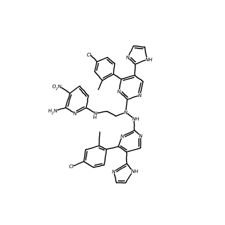 Cc1cc(Cl)ccc1-c1nc(NN(CCNc2ccc([N+](=O)[O-])c(N)n2)c2ncc(-c3ncc[nH]3)c(-c3ccc(Cl)cc3C)n2)ncc1-c1ncc[nH]1